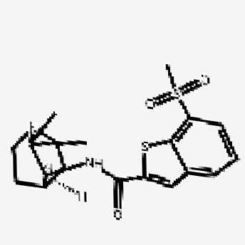 CC1(C)[C@@H](NC(=O)c2cc3cccc(S(C)(=O)=O)c3s2)C2CCN1CC2